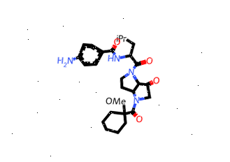 COC1(C(=O)N2CC(=O)C3C2CCN3C(=O)C(CC(C)C)NC(=O)c2ccc(N)cc2)CCCCC1